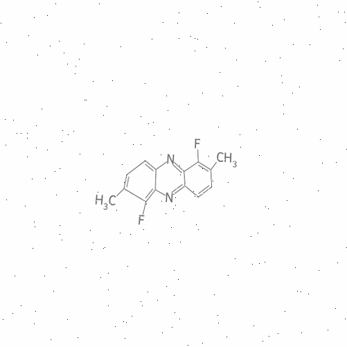 Cc1ccc2nc3c(F)c(C)ccc3nc2c1F